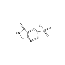 O=C1NCc2ncc(S(=O)(=O)Cl)cc21